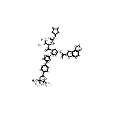 CC(C)C(NC(=O)OC1CCCC1)C(=O)N1C[C@H](OC(=O)N2Cc3ccc4c(c3C2)OCO4)C[C@H]1c1nc(-c2ccc(B3OC(C)(C)C(C)(C)O3)cc2)c[nH]1